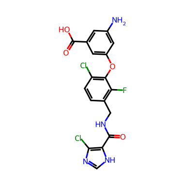 Nc1cc(Oc2c(Cl)ccc(CNC(=O)c3[nH]cnc3Cl)c2F)cc(C(=O)O)c1